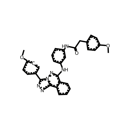 COc1ccc(CC(=O)Nc2cccc(Nc3nn4c(-c5ccc(OC)cc5)nnc4c4ccccc34)c2)cc1